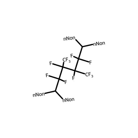 CCCCCCCCCC(CCCCCCCCC)C(F)(F)C(F)(C(F)(F)F)C(F)(C(F)(F)F)C(F)(F)C(CCCCCCCCC)CCCCCCCCC